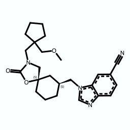 COCC1(CN2C[C@@]3(CCC[C@H](Cn4cnc5ccc(C#N)cc54)C3)OC2=O)CCCC1